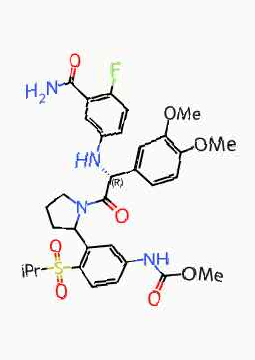 COC(=O)Nc1ccc(S(=O)(=O)C(C)C)c(C2CCCN2C(=O)[C@H](Nc2ccc(F)c(C(N)=O)c2)c2ccc(OC)c(OC)c2)c1